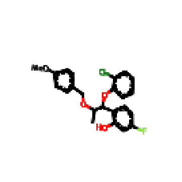 COc1ccc(COC(C)C(Oc2ccccc2Cl)c2ccc(F)cc2O)cc1